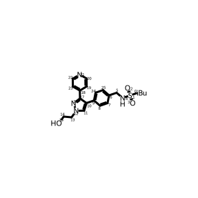 CCC(C)S(=O)(=O)NCc1ccc(-c2cn(CCO)nc2-c2ccncc2)cc1